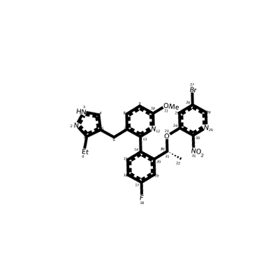 CCc1n[nH]cc1Cc1ccc(OC)nc1-c1ccc(F)cc1[C@@H](C)Oc1cc(Br)cnc1[N+](=O)[O-]